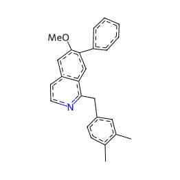 COc1cc2ccnc(Cc3ccc(C)c(C)c3)c2cc1-c1ccccc1